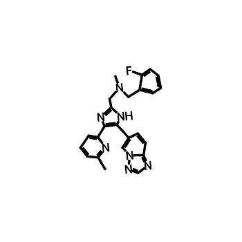 Cc1cccc(-c2nc(CN(C)Cc3ccccc3F)[nH]c2-c2ccc3ncnn3c2)n1